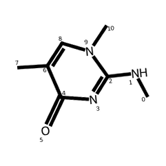 CNc1nc(=O)c(C)cn1C